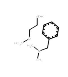 CCCCCCCCCCCCOS(=O)(=O)O.CN(C)Cc1ccccc1